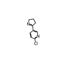 Clc1ccc(C2=NCCC2)cn1